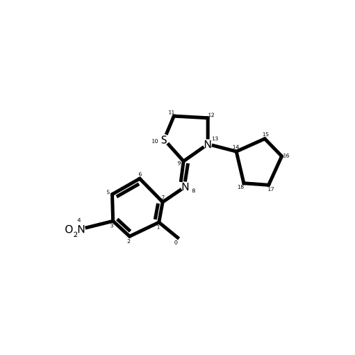 Cc1cc([N+](=O)[O-])ccc1N=C1SCCN1C1CCCC1